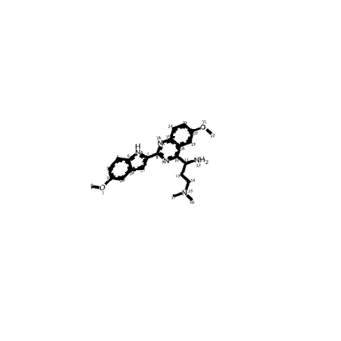 COc1ccc2[nH]c(-c3nc(C(N)CCN(C)C)c4cc(OC)ccc4n3)cc2c1